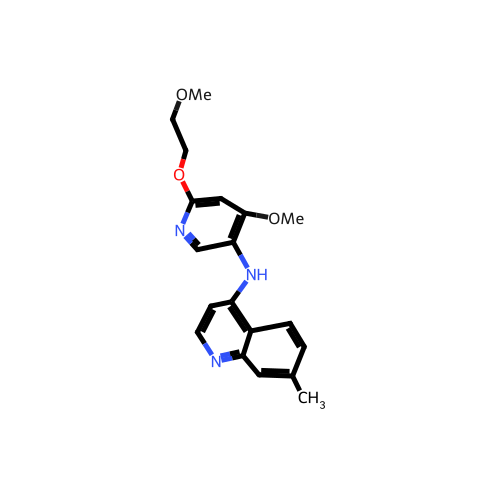 COCCOc1cc(OC)c(Nc2ccnc3cc(C)ccc23)cn1